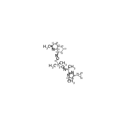 C/C(=N\OCC(C)(C)CO/N=C1\CCCc2ccc(C)nc21)c1nc(C)cc(C2CC2)n1